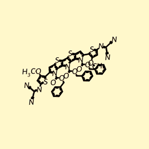 COc1cc(N=C(C#N)C#N)sc1-c1cc2sc3c4sc5cc(-c6sc(N=C(C#N)C#N)cc6OC)n(C(=O)OCc6ccccc6)c5c4n(C(=O)OCc4ccccc4)c3c2n1C(=O)OCc1ccccc1